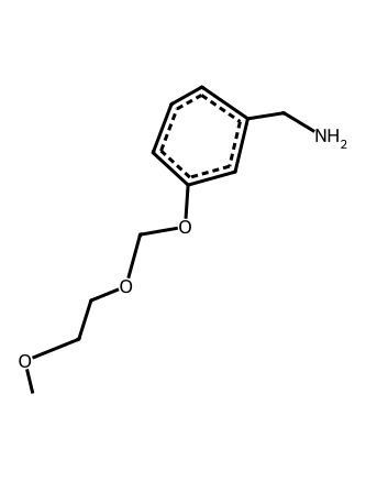 COCCOCOc1cccc(CN)c1